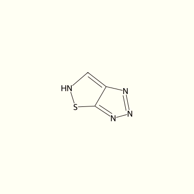 c1[nH]sc2nnnc1-2